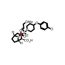 COCCOC(=O)N1[C@@H]2CC[C@H]1[C@H](C(=O)O)N(S(=O)(=O)N1CCC(Oc3ccc(Cl)cc3)CC1)C2